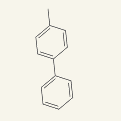 Cc1ccc(-c2c[c]ccc2)cc1